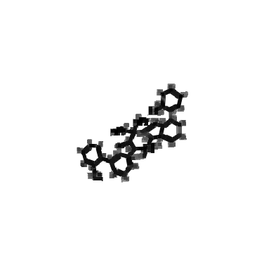 CCCC1(CCC)C2=Cc3c(-c4ccccc4CC)cccc3[CH]2[Hf]([CH3])([CH3])[CH]2C1=Cc1c(-c3ccccc3CC)cccc12